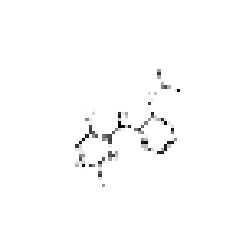 Cc1ncc(Cl)c(Nc2ccccc2SC(C)C)n1